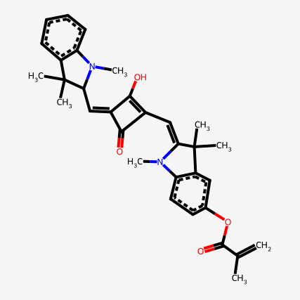 C=C(C)C(=O)Oc1ccc2c(c1)C(C)(C)C(=CC1=C(O)C(=CC3N(C)c4ccccc4C3(C)C)C1=O)N2C